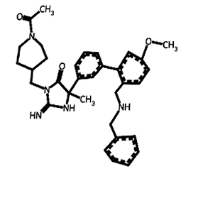 COc1ccc(CNCc2ccccc2)c(-c2cccc(C3(C)NC(=N)N(CC4CCN(C(C)=O)CC4)C3=O)c2)c1